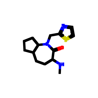 CNC1CCC2CCCC2N(Cc2nccs2)C1=O